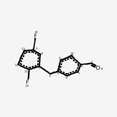 O=Cc1ccc(Cc2cc(F)ccc2F)cc1